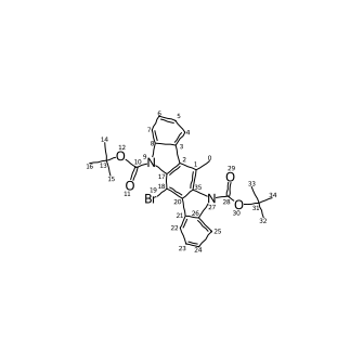 Cc1c2c3ccccc3n(C(=O)OC(C)(C)C)c2c(Br)c2c3ccccc3n(C(=O)OC(C)(C)C)c12